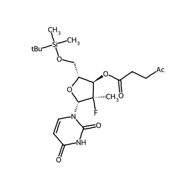 CC(=O)CCC(=O)O[C@@H]1[C@@H](CO[Si](C)(C)C(C)(C)C)O[C@@H](n2ccc(=O)[nH]c2=O)[C@]1(C)F